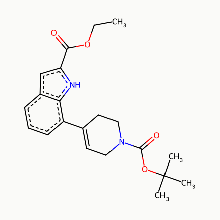 CCOC(=O)c1cc2cccc(C3=CCN(C(=O)OC(C)(C)C)CC3)c2[nH]1